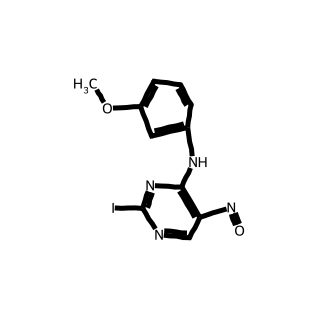 COc1cccc(Nc2nc(I)ncc2N=O)c1